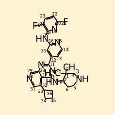 CC1(C)CNCC[C@H]1Nc1nc(-c2ccnc(Nc3nc(F)ccc3F)c2)nc2cncc(C3CCC3)c12